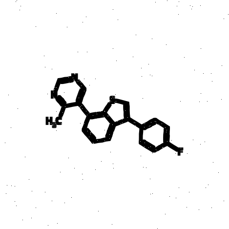 Cc1ncncc1-c1cccc2c(-c3ccc(F)cc3)csc12